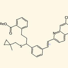 COC(=O)c1ccccc1CCC(SCC1(C)CC1)c1cccc(/C=C/c2ccc3ccc(Cl)cc3n2)c1